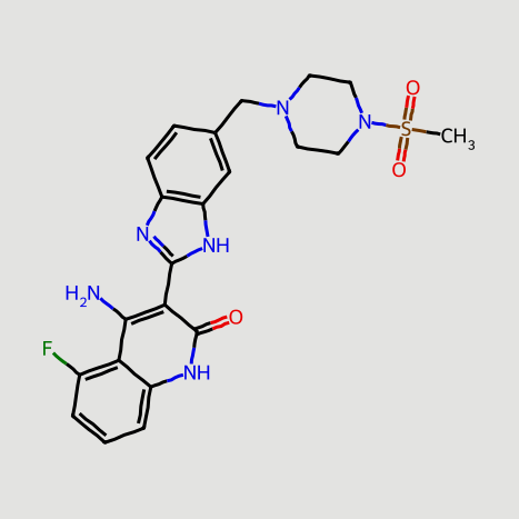 CS(=O)(=O)N1CCN(Cc2ccc3nc(-c4c(N)c5c(F)cccc5[nH]c4=O)[nH]c3c2)CC1